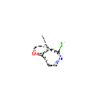 Cc1coc2ccnc(Cl)c12